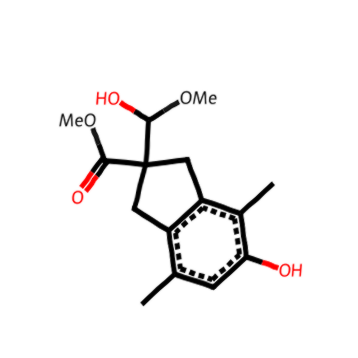 COC(=O)C1(C(O)OC)Cc2c(C)cc(O)c(C)c2C1